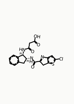 O=C(O)CC(=O)N[C@@H]1c2ccccc2C[C@H]1NC(=O)C1=Nc2cc(Cl)sc2C1